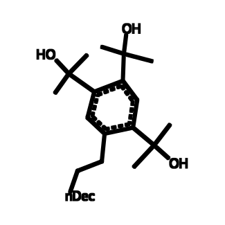 CCCCCCCCCCCCc1cc(C(C)(C)O)c(C(C)(C)O)cc1C(C)(C)O